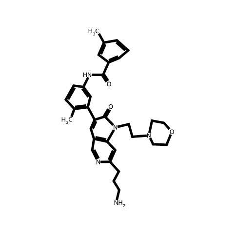 Cc1cccc(C(=O)Nc2ccc(C)c(-c3cc4cnc(CCCN)cc4n(CCN4CCOCC4)c3=O)c2)c1